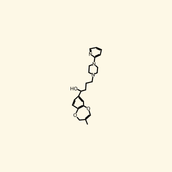 CC1=COc2cc(C(O)CCCN3CCN(c4ccccn4)CC3)ccc2OC1